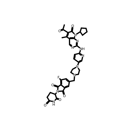 CC(=O)c1c(C)c2cnc(Nc3ccc(N4CCN(Cc5cc(F)c6c(c5)C(=O)N(C5CCC(=O)NC5=O)C6=O)CC4)cn3)nc2n(C2CCCC2)c1=O